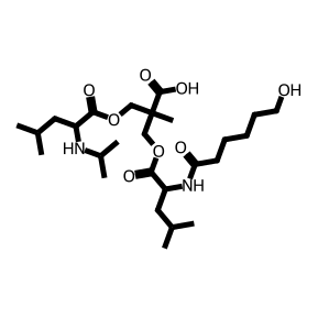 CC(C)CC(NC(=O)CCCCCO)C(=O)OCC(C)(COC(=O)C(CC(C)C)NC(C)C)C(=O)O